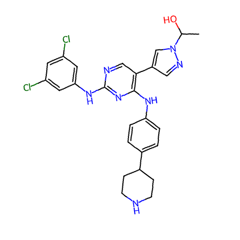 CC(O)n1cc(-c2cnc(Nc3cc(Cl)cc(Cl)c3)nc2Nc2ccc(C3CCNCC3)cc2)cn1